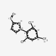 O=[S+]c1ccn(-c2c(Cl)cc(C(F)(F)F)cc2Cl)n1